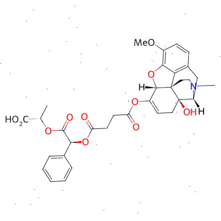 COc1ccc2c3c1O[C@H]1C(OC(=O)CCC(=O)O[C@H](C(=O)O[C@@H](C)C(=O)O)c4ccccc4)=CC[C@@]4(O)[C@@H](C2)N(C)CC[C@]314